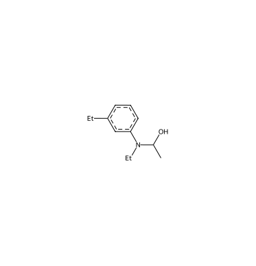 CCc1cccc(N(CC)C(C)O)c1